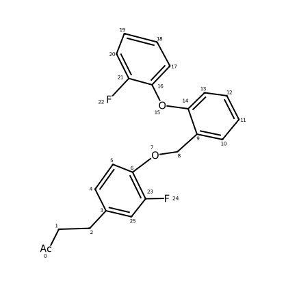 CC(=O)CCc1ccc(OCc2ccccc2Oc2ccccc2F)c(F)c1